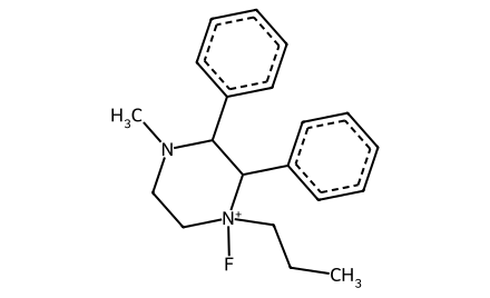 CCC[N+]1(F)CCN(C)C(c2ccccc2)C1c1ccccc1